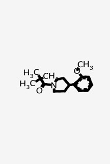 COc1ccccc1C1CCN(C(=O)C(C)(C)C)CC1